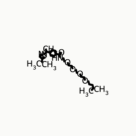 CC(C)CCCOCCOCCOCCOCCNC(=O)c1ccc(C(C)n2cc(C(C)C)cn2)cc1